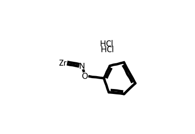 Cl.Cl.[Zr]=[N]Oc1ccccc1